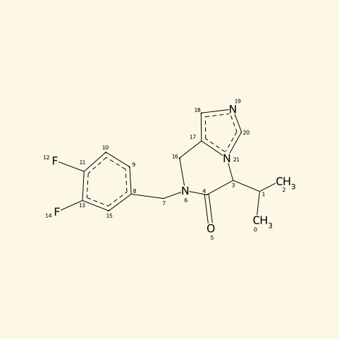 CC(C)C1C(=O)N(Cc2ccc(F)c(F)c2)Cc2cncn21